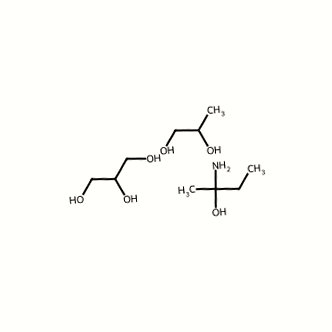 CC(O)CO.CCC(C)(N)O.OCC(O)CO